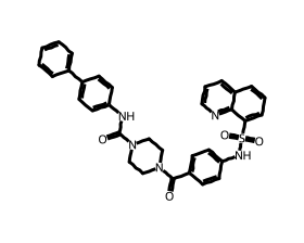 O=C(Nc1ccc(-c2ccccc2)cc1)N1CCN(C(=O)c2ccc(NS(=O)(=O)c3cccc4cccnc34)cc2)CC1